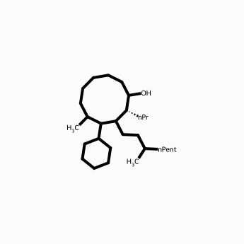 CCCCCC(C)CCC1C(C2CCCCC2)C(C)CCCCCC(O)[C@@H]1CCC